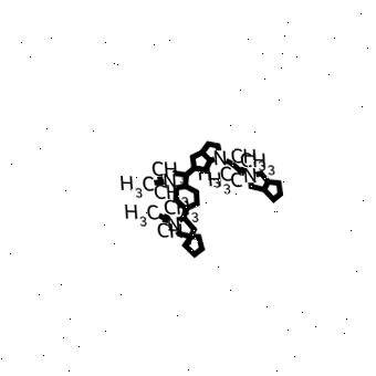 CC(C)(C)N1CC2(CCCC2)CC1C1CCC2C(C3CC4CCN(C(C)(C)C(C)(C)N5CC6CCCC6C5)C4C3)CN(C(C)(C)C)C2C1